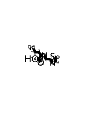 CSCCC(N=Cc1nccs1)C(=O)O